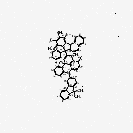 Bc1c(B)c(B)c2c(c1B)-c1c(ccc3ccccc13)C2(C1=CC2(C)C3=C(C(C)C=CC3(C)N(c3ccc4c(c3)-c3ccccc3C4(C)C)c3ccccc32)C1C)c1ccccc1